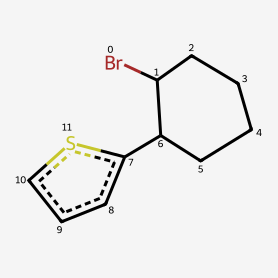 BrC1CCCCC1c1cccs1